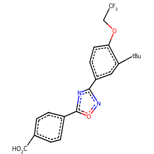 CC(C)(C)c1cc(-c2noc(-c3ccc(C(=O)O)cc3)n2)ccc1OCC(F)(F)F